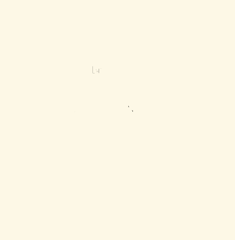 C[C@@H]1C=CC(Br)=N[C@@H]1C